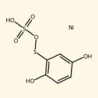 O=S(=O)(O)OSc1cc(O)ccc1O.[Ni]